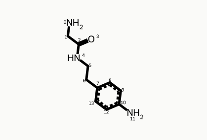 NCC(=O)NCCc1ccc(N)cc1